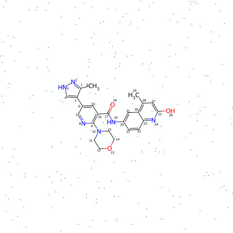 Cc1n[nH]cc1-c1cnc(N2CCOCC2)c(C(=O)Nc2ccc3nc(O)cc(C)c3c2)c1